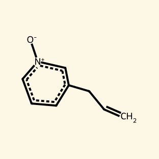 C=CCc1ccc[n+]([O-])c1